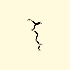 CC(=O)OC(=O)NCONC(C)(C)C